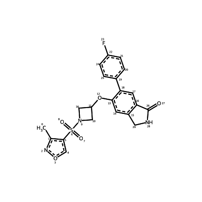 Cc1nocc1S(=O)(=O)N1CC(Oc2cc3c(cc2-c2ccc(F)cc2)C(=O)NC3)C1